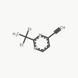 C#Cc1ccnc(C(C)(CC)CC)n1